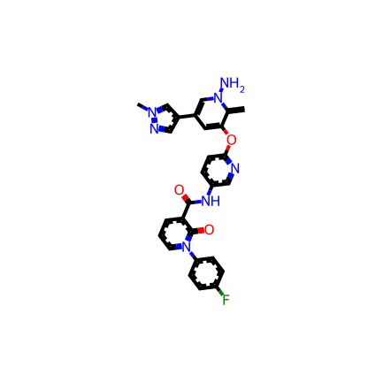 C=C1C(Oc2ccc(NC(=O)c3cccn(-c4ccc(F)cc4)c3=O)cn2)=CC(c2cnn(C)c2)=CN1N